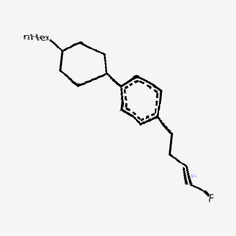 CCCCCCC1CCC(c2ccc(CC/C=C/F)cc2)CC1